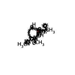 CC(=O)c1nn2c3c(cc(-c4cnc(C)nc4)cc13)CCCCCCC(=O)NC[C@]13C4C1[C@H]3N(C(=O)C2)[C@@H]4C(=O)NC/C(F)=C(/C)c1ccccc1